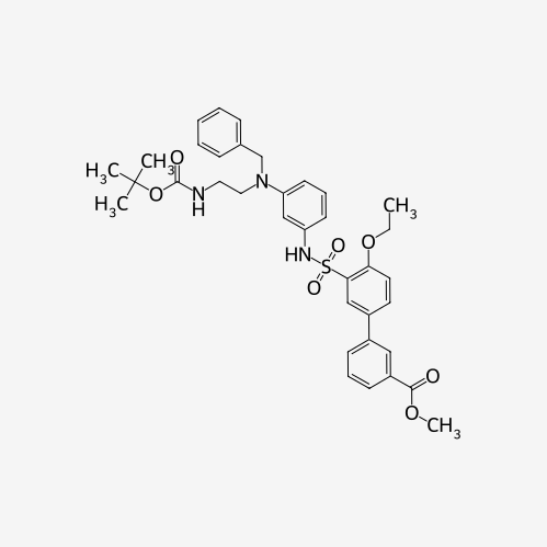 CCOc1ccc(-c2cccc(C(=O)OC)c2)cc1S(=O)(=O)Nc1cccc(N(CCNC(=O)OC(C)(C)C)Cc2ccccc2)c1